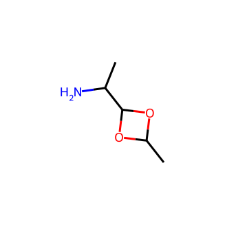 CC1OC(C(C)N)O1